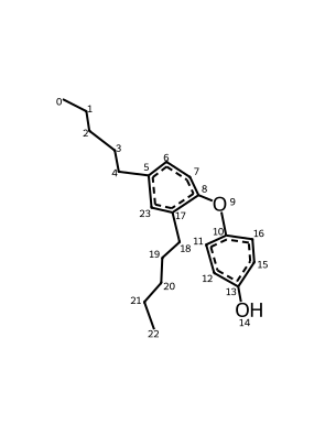 CCCCCc1ccc(Oc2ccc(O)cc2)c(CCCCC)c1